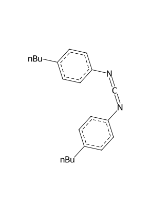 CCCCc1ccc(N=C=Nc2ccc(CCCC)cc2)cc1